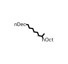 CCCCCCCCCCCCCCC[CH]C(C)CCCCCCCC